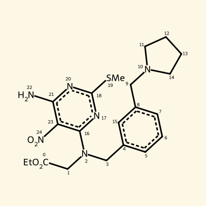 CCOC(=O)CN(Cc1cccc(CN2CCCC2)c1)c1nc(SC)nc(N)c1[N+](=O)[O-]